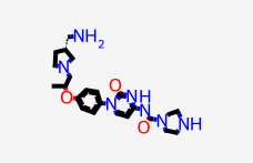 CC(CN1CC[C@H](CN)C1)Oc1ccc(-n2ccc(NC(=O)N3CCNCC3)nc2=O)cc1